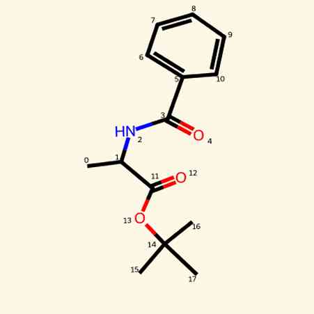 CC(NC(=O)c1ccccc1)C(=O)OC(C)(C)C